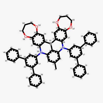 Cc1cc2c3c(c1)N(c1cc(-c4ccccc4)cc(-c4ccccc4)c1)c1cc4c(cc1B3c1cc3c(cc1N2c1cc(-c2ccccc2)cc(-c2ccccc2)c1)OCCCO3)OCCCO4